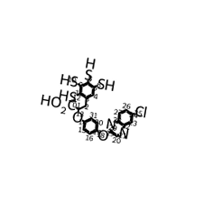 O=C(O)C(Cc1cc(S)c(S)c(S)c1S)Oc1ccc(Oc2cnc3cc(Cl)ccc3n2)cc1